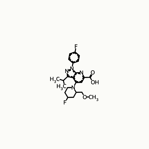 COCC1CC(F)CCN1c1cc(C(=O)O)nc2c1c(C(C)C)nn2-c1ccc(F)cc1